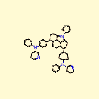 c1ccc(N(c2ccc(-c3ccc4c5c3ccc3c(-c6ccc(N(c7ccccc7)c7cccnc7)cc6)ccc(c35)n4-c3ccccc3)cc2)c2cccnc2)cc1